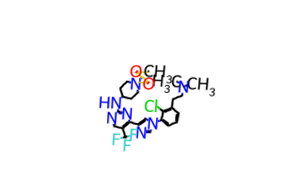 CN(C)CCc1cccc(-n2cnc(-c3nc(NC4CCN(S(C)(=O)=O)CC4)ncc3C(F)(F)F)c2)c1Cl